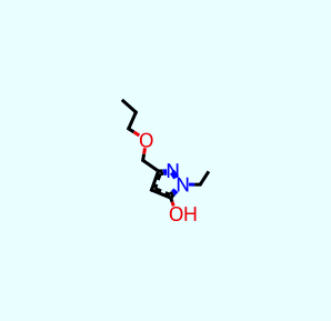 CCCOCc1cc(O)n(CC)n1